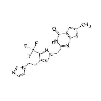 Cc1cc2c(=O)[nH]c(Cn3cc(CCn4ccnc4)c(C(F)(F)F)n3)nc2s1